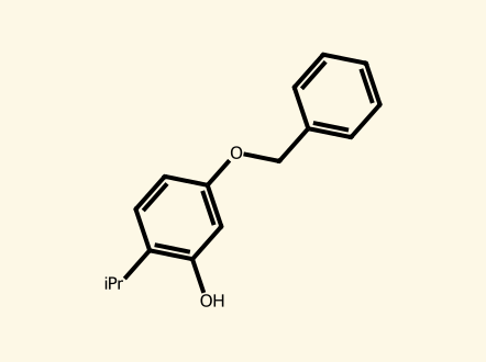 CC(C)c1ccc(OCc2ccccc2)cc1O